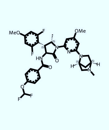 COc1cc(N2C[C@@H]3C[C@H]2CN3C)nc(N2C(=O)C(NC(=O)c3ccc(OC(F)F)cc3)[C@H](c3c(F)cc(OC)cc3F)[C@@H]2C)c1